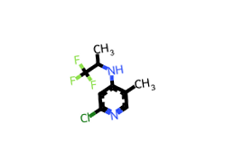 Cc1cnc(Cl)cc1NC(C)C(F)(F)F